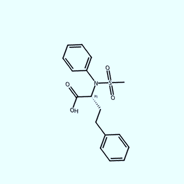 CS(=O)(=O)N(c1ccccc1)[C@H](CCc1ccccc1)C(=O)O